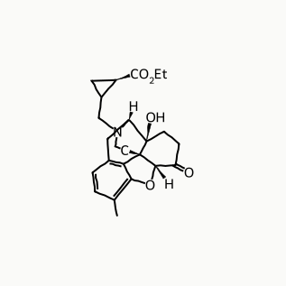 CCOC(=O)[C@@H]1CC1CN1CC[C@]23c4c5ccc(C)c4O[C@H]2C(=O)CC[C@@]3(O)[C@H]1C5